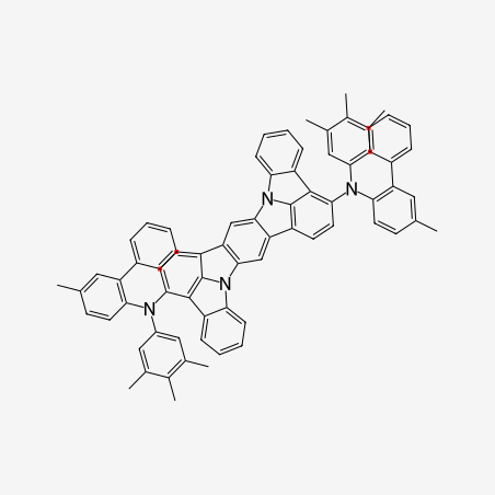 Cc1ccc(N(c2cc(C)c(C)c(C)c2)c2ccc3c4cc5c(cc4n4c6ccccc6c2c34)c2ccc(N(c3cc(C)c(C)c(C)c3)c3ccc(C)cc3-c3ccccc3)c3c4ccccc4n5c23)c(-c2ccccc2)c1